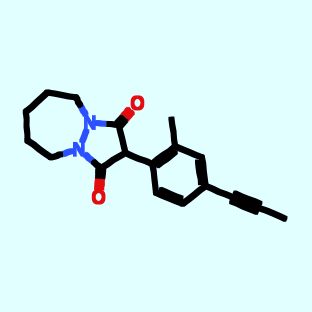 CC#Cc1ccc(C2C(=O)N3CCCCCN3C2=O)c(C)c1